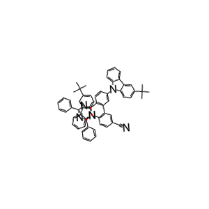 CC(C)(C)c1ccc2c(c1)c1ccccc1n2-c1ccc(-c2nc(-c3ccccc3)nc(-c3ccccc3)n2)c(-c2cc(C#N)ccc2-n2c3ccccc3c3cc(C(C)(C)C)ccc32)c1